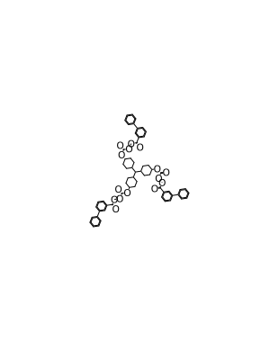 O=C(OOC(=O)c1cccc(-c2ccccc2)c1)OC1CCC(C(C2CCC(OC(=O)OOC(=O)c3cccc(-c4ccccc4)c3)CC2)C2CCC(OC(=O)OOC(=O)c3cccc(-c4ccccc4)c3)CC2)CC1